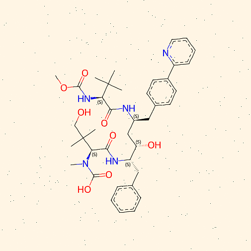 COC(=O)N[C@H](C(=O)N[C@@H](Cc1ccc(-c2ccccn2)cc1)C[C@H](O)[C@H](Cc1ccccc1)NC(=O)[C@@H](N(C)C(=O)O)C(C)(C)CO)C(C)(C)C